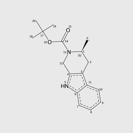 [CH2][C@H]1Cc2c([nH]c3ccccc23)CN1C(=O)OC(C)(C)C